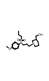 CCCS(=O)(=O)N(CCCN1CCCC(CO)C1)c1ccc(OC)cc1